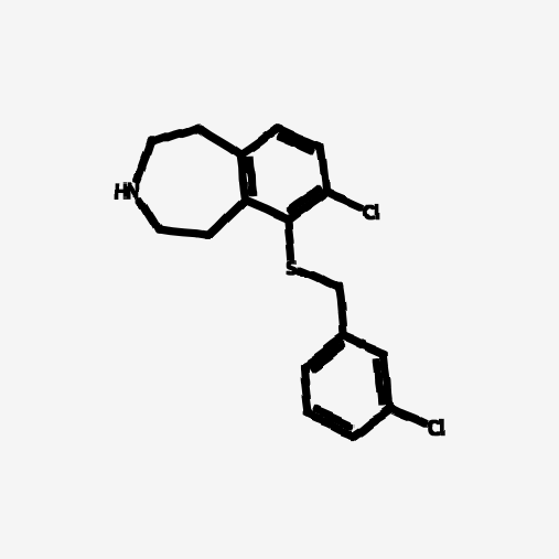 Clc1cccc(CSc2c(Cl)ccc3c2CCNCC3)c1